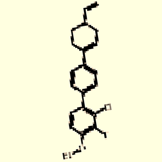 C=CC1CC=C(c2ccc(-c3ccc(OCC)c(F)c3Cl)cc2)CC1